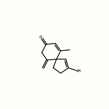 C=C1CC(=O)C=C(C)C12C=C(C(C)C)CC2